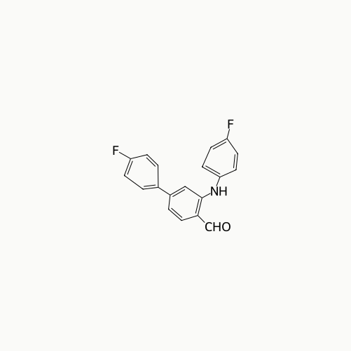 O=Cc1ccc(-c2ccc(F)cc2)cc1Nc1ccc(F)cc1